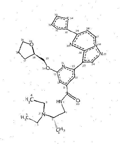 CCN(CC)[C@@H](C)CNC(=O)c1cc(OC[C@H]2CCCO2)nc(-c2cnn3ccc(-c4cccs4)nc23)c1